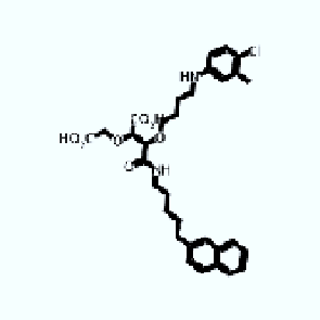 Cc1cc(NCCCCOC(C(=O)NCCCCCc2ccc3ccccc3c2)C(OCC(=O)O)C(=O)O)ccc1Cl